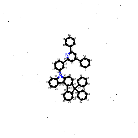 c1ccc(-c2cc(-c3ccccc3)nc(-c3cccc(-n4c5ccccc5c5c6c(ccc54)C(c4ccccc4)(c4ccccc4)c4ccccc4-6)c3)c2)cc1